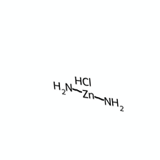 Cl.[NH2][Zn][NH2]